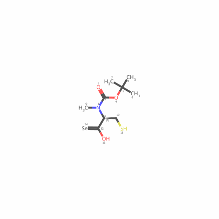 CN(C(=O)OC(C)(C)C)[C@@H](CS)C(O)=[Se]